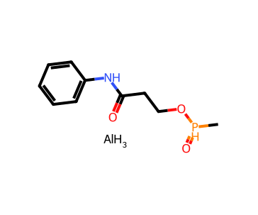 C[PH](=O)OCCC(=O)Nc1ccccc1.[AlH3]